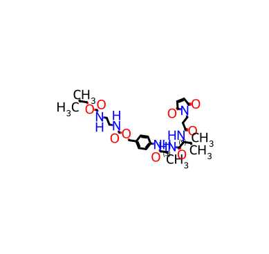 CC(C)COC(=O)NCCNC(=O)OCc1ccc(NC(=O)[C@H](C)NC(=O)[C@@H](NC(=O)CCN2C(=O)C=CC2=O)C(C)C)cc1